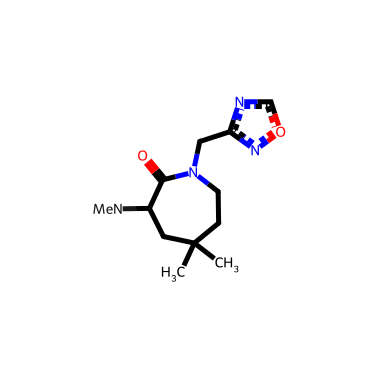 CNC1CC(C)(C)CCN(Cc2ncon2)C1=O